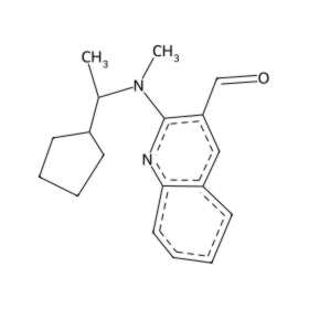 CC(C1CCCC1)N(C)c1nc2ccccc2cc1C=O